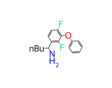 CCCCC(N)c1ccc(F)c(Oc2ccccc2)c1F